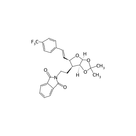 CC1(C)O[C@@H]2O[C@H](C=Cc3ccc(C(F)(F)F)cc3)[C@H](CCN3C(=O)c4ccccc4C3=O)[C@@H]2O1